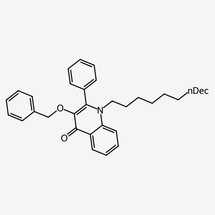 CCCCCCCCCCCCCCCCn1c(-c2ccccc2)c(OCc2ccccc2)c(=O)c2ccccc21